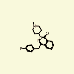 CN1CCC(n2nc(Cc3ccc(F)cc3)c3ccccc3c2=O)CC1